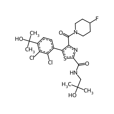 CC(C)(O)CNC(=O)c1nc(C(=O)N2CCC(F)CC2)c(-c2ccc(C(C)(C)O)c(Cl)c2Cl)s1